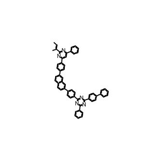 C/C=C(\C)c1nc(-c2ccccc2)cc(-c2ccc(-c3ccc4ccc(-c5ccc(-c6nc(-c7ccccc7)nc(-c7ccc(-c8ccccc8)cc7)n6)cc5)cc4c3)cc2)n1